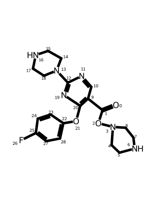 O=C(ON1CCNCC1)c1cnc(N2CCNCC2)nc1Oc1ccc(F)cc1